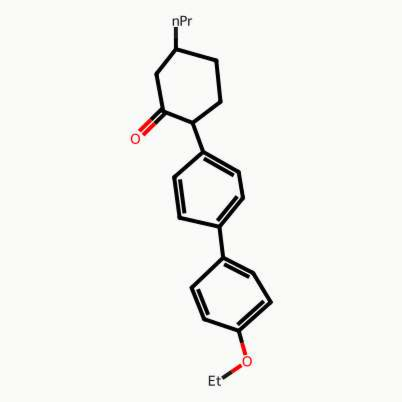 CCCC1CCC(c2ccc(-c3ccc(OCC)cc3)cc2)C(=O)C1